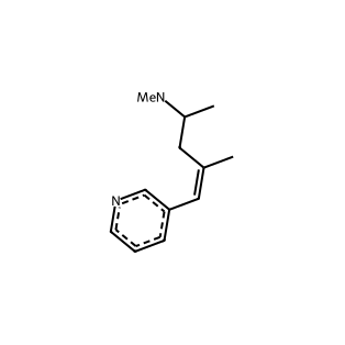 CNC(C)C/C(C)=C\c1cccnc1